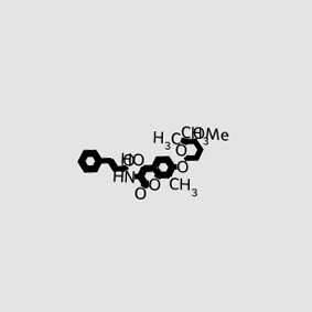 CO[C@@H]1CC[C@H](Oc2ccc3c(O)c(NC(=O)/C=C/c4ccccc4)c(=O)oc3c2C)OC1(C)C